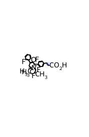 C[C@@H]1Cc2c(oc3cccc(F)c23)[C@@H](c2c(F)cc(/C=C/C(=O)O)cc2F)N1CC(C)(C)F